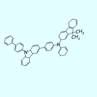 CC1(C)C2=CC(N(C3=CCCC=C3)c3ccc(C4=CC5C6C=CC=CC6N(c6ccc(-c7ccccc7)cc6)C5C=C4)cc3)CC=C2C2=C1C=CCC2